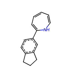 [c]1cc2c(cc1C1=CC=CC=CN1)CCC2